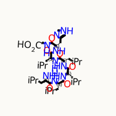 CC(C)C[C@H](NC(=O)[C@H](CC(C)C)NC(=O)[C@H](CC(C)C)NC(=O)[C@H](CC(C)C)NC(=O)[C@@H](N)CC(C)C)C(=O)N[C@@H](Cc1c[nH]cn1)C(=O)NCC(=O)O